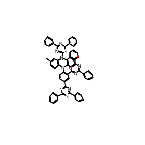 Cc1ccc2c(c1)N(c1nc(-c3ccccc3)nc(-c3ccccc3)n1)c1cc(C)ccc1N2c1ccc(-c2nc(-c3ccccc3)nc(-c3ccccc3)n2)cc1-c1nc(-c2ccccc2)nc(-c2ccccc2)n1